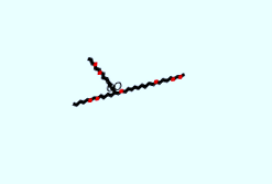 CCCCCCCCCCCCCCCCCCCCC(CCCCCCCCCCCC)C(=O)OCCCCCCCCCCCC